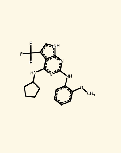 COc1c[c]ccc1Nc1nc(NC2CCCC2)c2c(C(F)(F)F)c[nH]c2n1